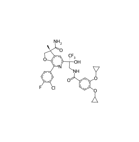 C[C@]1(C(N)=O)COc2c1cc([C@@](O)(CNC(=O)c1ccc(OC3CC3)c(OC3CC3)c1)C(F)(F)F)nc2-c1ccc(F)c(Cl)c1